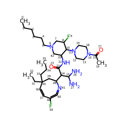 CCCCCCN1CC(F)C(N2CCN(C(C)=O)CC2)C(NC(=O)C(C(N)N)C2CC(CC)(CCC)/C=C\C(F)=C=N2)C1